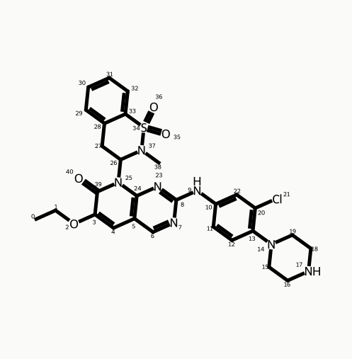 CCOc1cc2cnc(Nc3ccc(N4CCNCC4)c(Cl)c3)nc2n(C2Cc3ccccc3S(=O)(=O)N2C)c1=O